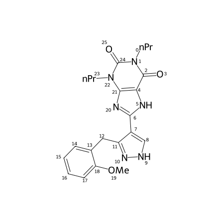 CCCn1c(=O)c2[nH]c(-c3c[nH]nc3Cc3ccccc3OC)nc2n(CCC)c1=O